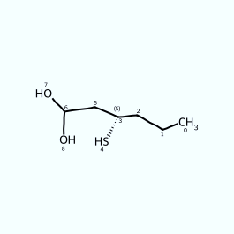 CCC[C@H](S)CC(O)O